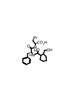 CC(C)C[C@H](NC(=O)[C@H](Cc1ccccc1)NC(=O)C1CCCCC1CO)C(=O)O